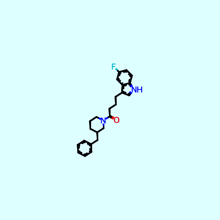 O=C(CCCc1c[nH]c2ccc(F)cc12)N1CCCC(Cc2ccccc2)C1